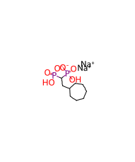 O=P([O-])(O)C(CC1CCCCCC1)P(=O)([O-])O.[Na+].[Na+]